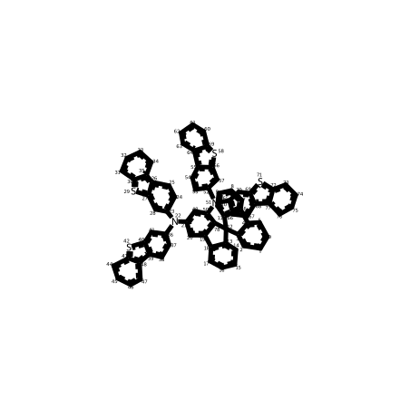 c1ccc2c(c1)-c1ccccc1C21c2ccccc2-c2cc(N(c3ccc4c(c3)sc3ccccc34)c3ccc4c(c3)sc3ccccc34)cc(N(c3ccc4c(c3)sc3ccccc34)c3ccc4c(c3)sc3ccccc34)c21